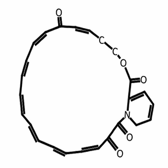 O=C1C=CC=CC=CC=CC=CC=CC(=O)C(=O)N2CC=CC=C2C(=O)OCCC=C1